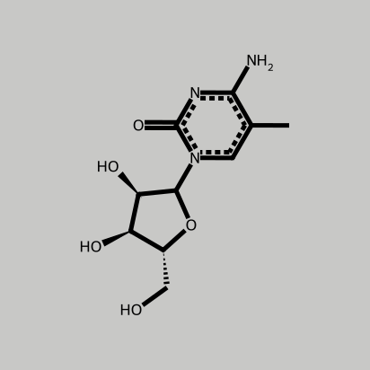 Cc1cn(C2O[C@H](CO)[C@@H](O)[C@H]2O)c(=O)nc1N